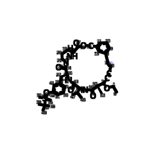 CCOC1CC/C=C/c2cccc(c2)COC(=O)[C@@H]2CCCN(N2)C(=O)[C@H](Cc2cccc(O[Si](C)(C)C(C)(C)C)c2)NC(=O)[C@H](C(C)C)NC(=O)[C@@H]1C